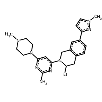 CCC1Cc2ccc(-c3ccn(C)n3)cc2CN1c1cc(N2CCN(C)CC2)nc(N)n1